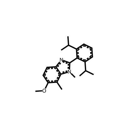 COc1ccc2nc(-c3c(C(C)C)cccc3C(C)C)n(C)c2c1C